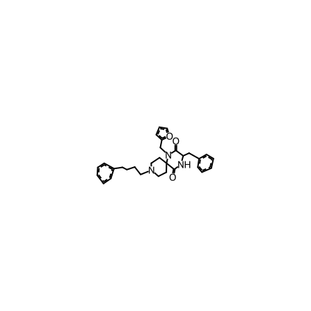 O=C1C(Cc2ccccc2)NC(=O)C2(CCN(CCCCc3ccccc3)CC2)N1Cc1ccco1